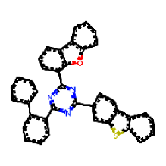 c1ccc(-c2ccccc2-c2nc(-c3ccc4c(c3)sc3ccccc34)nc(-c3cccc4c3oc3ccccc34)n2)cc1